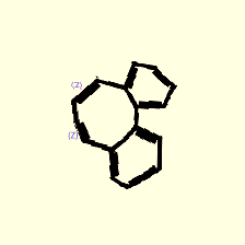 [C]1=C\C=C/c2ccccc2-c2ccccc2/1